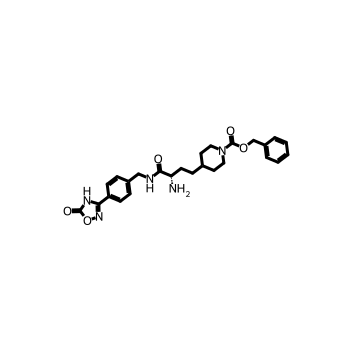 N[C@@H](CCC1CCN(C(=O)OCc2ccccc2)CC1)C(=O)NCc1ccc(-c2noc(=O)[nH]2)cc1